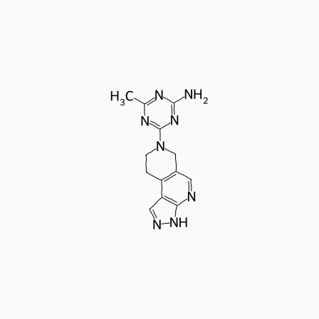 Cc1nc(N)nc(N2CCc3c(cnc4[nH]ncc34)C2)n1